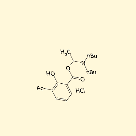 CCCCN(CCCC)C(C)OC(=O)c1cccc(C(C)=O)c1O.Cl